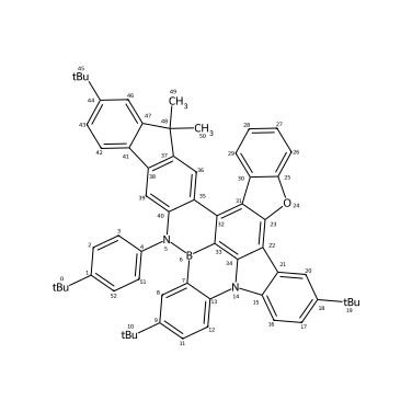 CC(C)(C)c1ccc(N2B3c4cc(C(C)(C)C)ccc4-n4c5ccc(C(C)(C)C)cc5c5c6oc7ccccc7c6c(c3c54)-c3cc4c(cc32)-c2ccc(C(C)(C)C)cc2C4(C)C)cc1